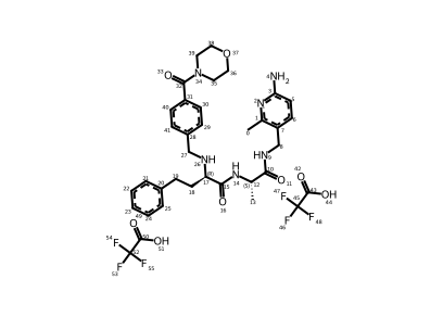 Cc1nc(N)ccc1CNC(=O)[C@H](C)NC(=O)[C@@H](CCc1ccccc1)NCc1ccc(C(=O)N2CCOCC2)cc1.O=C(O)C(F)(F)F.O=C(O)C(F)(F)F